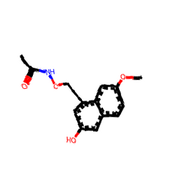 COc1ccc2cc(O)cc(CONC(C)=O)c2c1